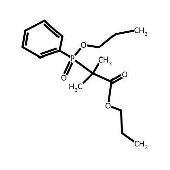 CCCOC(=O)C(C)(C)P(=O)(OCCC)c1ccccc1